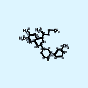 C=C(CCC(F)(F)F)c1nc(N2CCO[C@@H](c3ccnc(C)c3)C2)nc2nc(C)c(C)nc12